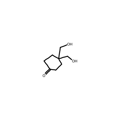 O=C1CCC(CO)(CO)CC1